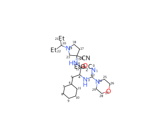 CCOC(=O)/N=C(\NC(CC1CCCCC1)C(=O)NC1(C#N)CCN(C(CC)CC)C1)N1CCOCC1